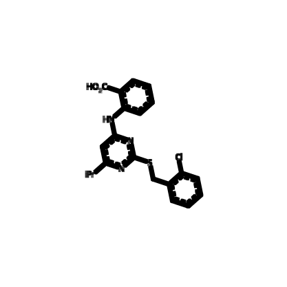 CC(C)c1cc(Nc2ccccc2C(=O)O)nc(SCc2ccccc2Cl)n1